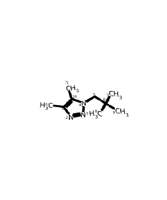 Cc1nnn(CC(C)(C)C)c1C